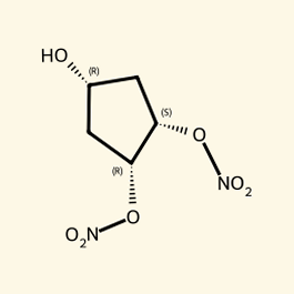 O=[N+]([O-])O[C@H]1C[C@@H](O)C[C@H]1O[N+](=O)[O-]